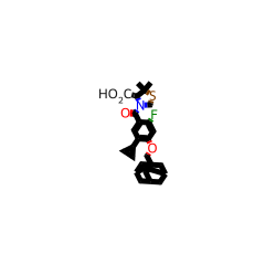 CC1(C)SCN(C(=O)c2cc(C3CC3)c(OCC34CC5CC(CC(C5)C3)C4)cc2F)C1C(=O)O